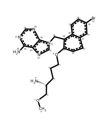 COC[C@H](N)CCCOc1ccc2cc(Br)ccc2c1Cn1cnc2c(N)ncnc21